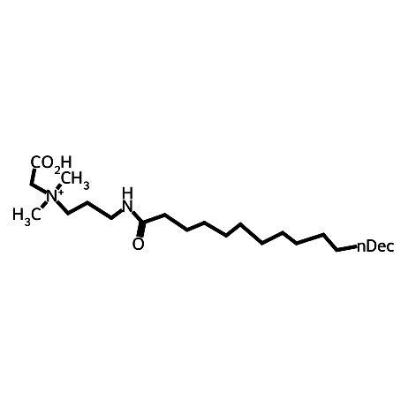 CCCCCCCCCCCCCCCCCCCCC(=O)NCCC[N+](C)(C)CC(=O)O